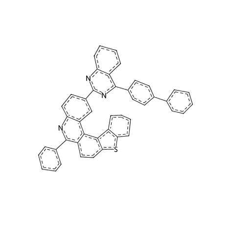 c1ccc(-c2ccc(-c3nc(-c4ccc5nc(-c6ccccc6)c6ccc7sc8ccccc8c7c6c5c4)nc4ccccc34)cc2)cc1